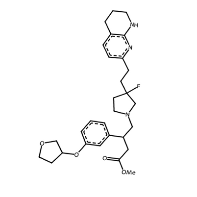 COC(=O)CC(CN1CCC(F)(CCc2ccc3c(n2)NCCC3)C1)c1cccc(OC2CCOC2)c1